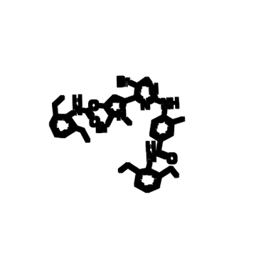 CCc1cccc(CC)c1NC(=O)Oc1cc(-c2nc(Nc3ccc(C(=O)Nc4c(CC)cccc4CC)cc3C)ncc2Br)n(C)c1Br